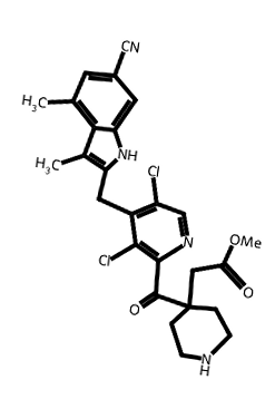 COC(=O)CC1(C(=O)c2ncc(Cl)c(Cc3[nH]c4cc(C#N)cc(C)c4c3C)c2Cl)CCNCC1